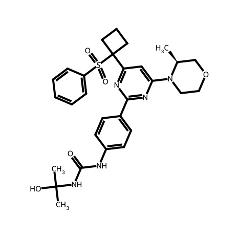 C[C@H]1COCCN1c1cc(C2(S(=O)(=O)c3ccccc3)CCC2)nc(-c2ccc(NC(=O)NC(C)(C)O)cc2)n1